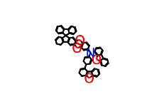 C1=CC2=C(CC1)c1cc3c(cc1C21c2ccccc2-c2ccccc21)Oc1ccc(N(C2=CCC(C4=CCCc5oc6ccccc6c54)C=C2)c2cccc4c2oc2ccccc24)cc1O3